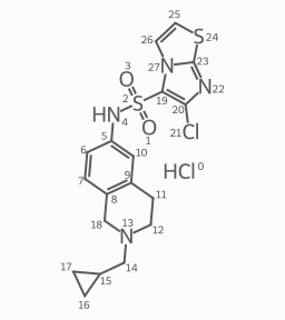 Cl.O=S(=O)(Nc1ccc2c(c1)CCN(CC1CC1)C2)c1c(Cl)nc2sccn12